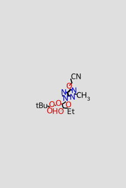 CC[C@H]1O[C@@H](n2cnc3c(OCCC#N)nc(C)nc32)C(OCOC(=O)C(C)(C)C)[C@H]1O